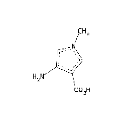 Cn1cc(N)c(C(=O)O)c1